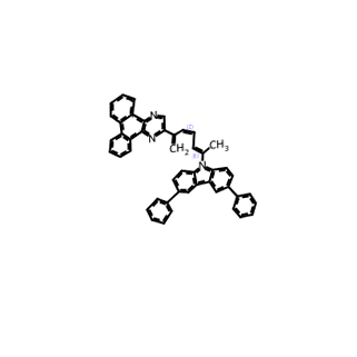 C=C(/C=C\C=C(/C)n1c2ccc(-c3ccccc3)cc2c2cc(-c3ccccc3)ccc21)c1cnc2c3ccccc3c3ccccc3c2n1